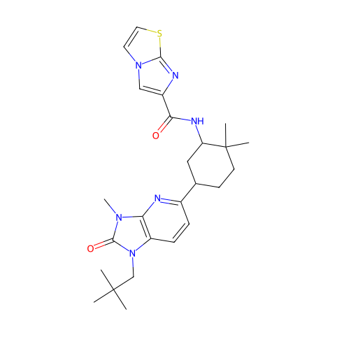 Cn1c(=O)n(CC(C)(C)C)c2ccc(C3CCC(C)(C)C(NC(=O)c4cn5ccsc5n4)C3)nc21